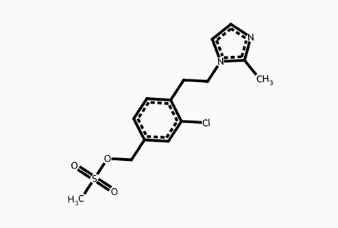 Cc1nccn1CCc1ccc(COS(C)(=O)=O)cc1Cl